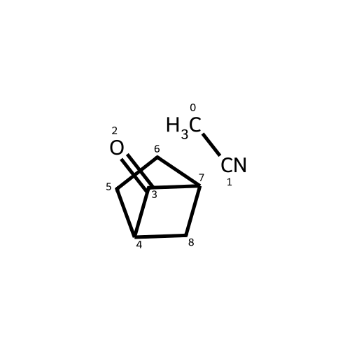 CC#N.O=C1C2CCC1C2